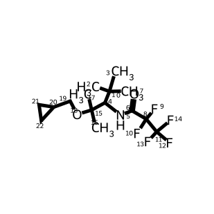 CC(C)(C)C(NC(=O)C(F)(F)C(F)(F)F)C(C)(C)OCC1CC1